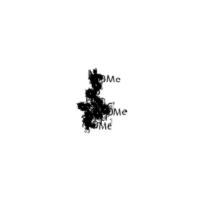 COCc1c(C)nc2sc3cc(Oc4ccccc4CNC(=O)N(c4ccc(OC)c(Cl)c4)N(C(=O)NCc4ccccc4Oc4ccc5c(c4)sc4nc(C)c(COC)n45)c4ccc(Cl)c(C(F)(F)F)c4)ccc3n12